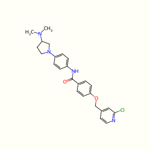 CN(C)C1CCN(c2ccc(NC(=O)c3ccc(OCc4ccnc(Cl)c4)cc3)cc2)C1